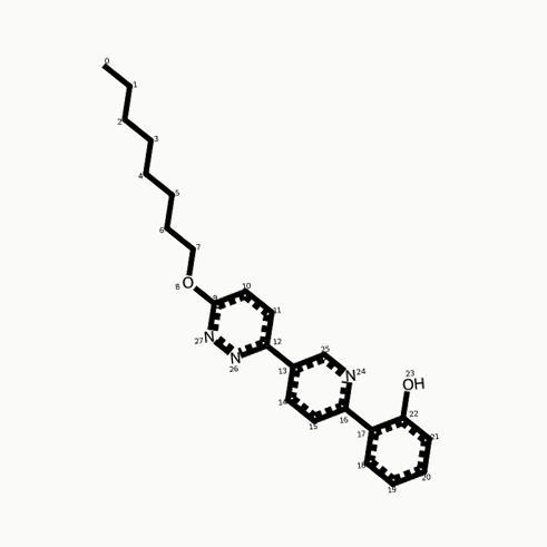 CCCCCCCCOc1ccc(-c2ccc(-c3ccccc3O)nc2)nn1